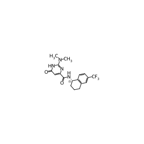 CN(C)c1nc(C(=O)N[C@H]2CCCc3cc(C(F)(F)F)ccc32)cc(=O)[nH]1